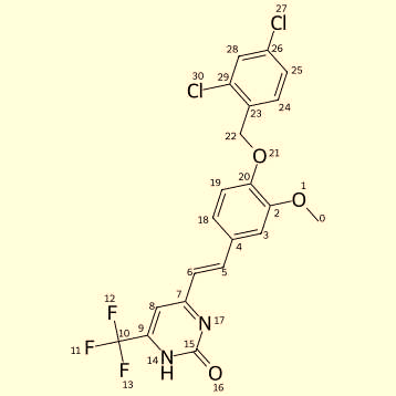 COc1cc(C=Cc2cc(C(F)(F)F)[nH]c(=O)n2)ccc1OCc1ccc(Cl)cc1Cl